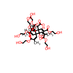 C=C(C(=O)O)C(C=C(C)C(=O)OCCO)(C=C(C)C(=O)OCCO)C(O)(C=C(C)C(=O)OCCO)C(C=C(C)C(=O)OCCO)(C=C(C)C(=O)OCCO)C=C(C)C(=O)OCCO